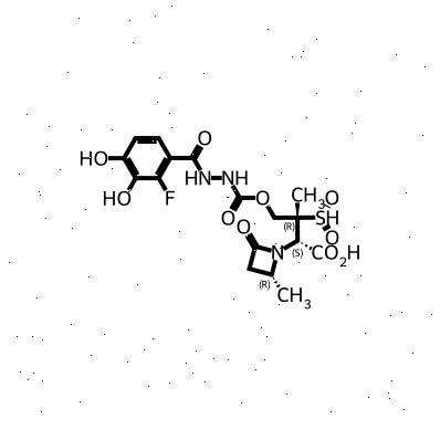 C[C@@H]1CC(=O)N1[C@@H](C(=O)O)[C@](C)(COC(=O)NNC(=O)c1ccc(O)c(O)c1F)[SH](=O)=O